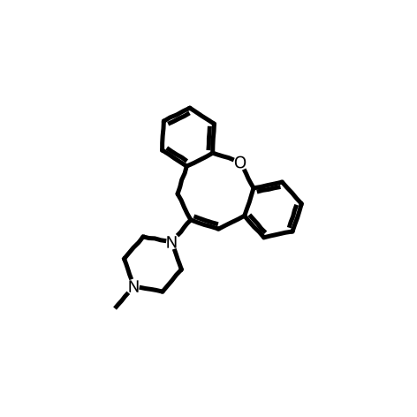 CN1CCN(/C2=C/c3ccccc3Oc3ccccc3C2)CC1